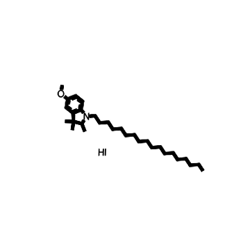 CCCCCCCCCCCCCCCCCCN1c2ccc(OC)cc2C(C)(C)C1C.I